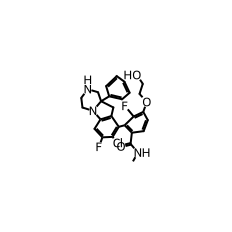 CNC(=O)c1ccc(OCCO)c(F)c1-c1c(Cl)c(F)cc2c1CC1(c3ccccc3)CNCCN21